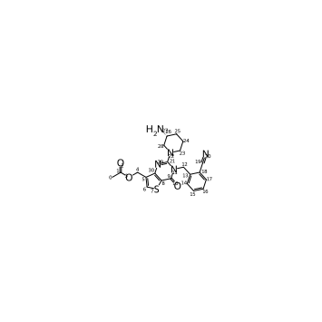 CC(=O)OCc1csc2c(=O)n(Cc3ccccc3C#N)c(N3CCC[C@@H](N)C3)nc12